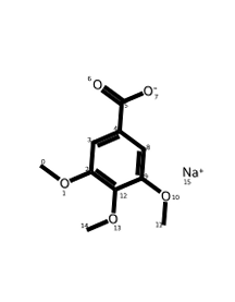 COc1cc(C(=O)[O-])cc(OC)c1OC.[Na+]